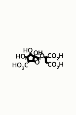 O=C(O)CC(O[C@@H]1OC2C(C(=O)O)[C@@H](O)C(O)C21O)C(=O)O